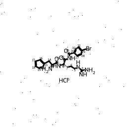 Cl.N=C(N)NCCC[C@H](NC(=O)[C@@H](N)Cc1ccccc1)C(=O)NC(=O)c1ccc(Br)cc1